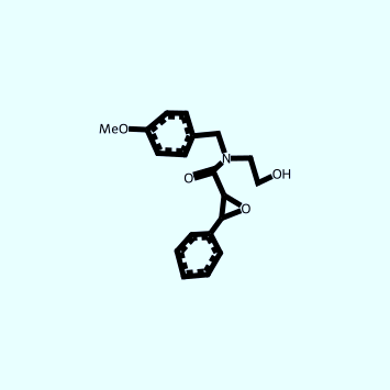 COc1ccc(CN(CCO)C(=O)C2OC2c2ccccc2)cc1